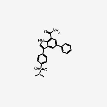 CN(C)S(=O)(=O)c1ccc(-c2c[nH]c3c(C(N)=O)cc(-c4ccccc4)cc23)cc1